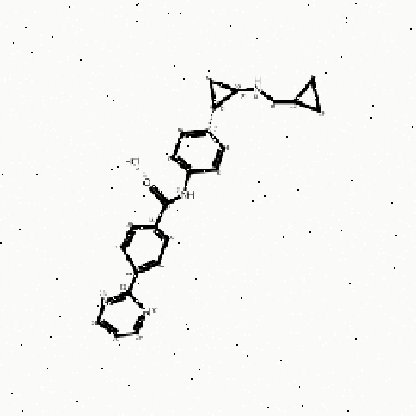 Cl.O=C(Nc1ccc([C@@H]2C[C@H]2NCC2CC2)cc1)c1ccc(-c2ncccn2)cc1